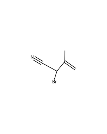 C=C(C)C(Br)C#N